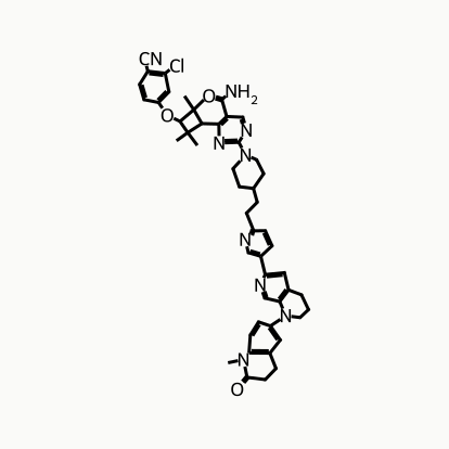 CN1C(=O)CCc2cc(N3CCCc4cc(-c5ccc(CCC6CCN(c7ncc(C(N)=O)c(C8C(C)(C)C(Oc9ccc(C#N)c(Cl)c9)C8(C)C)n7)CC6)nc5)ncc43)ccc21